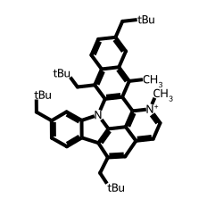 Cc1c2cc(CC(C)(C)C)ccc2c(CC(C)(C)C)c2c1c1c3c(cc[n+]1C)cc(CC(C)(C)C)c1c4ccc(CC(C)(C)C)cc4n2c13